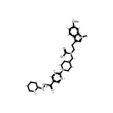 CCC(=O)N(CCc1cn(C)c2cc(OC)ccc12)CC1CCN(c2ncc(C(=O)NOC3CCCCO3)cn2)CC1